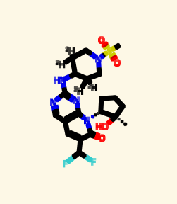 [2H]C1([2H])CN(S(C)(=O)=O)CC([2H])([2H])C1Nc1ncc2cc(C(F)F)c(=O)n([C@@H]3CCC[C@@]3(C)O)c2n1